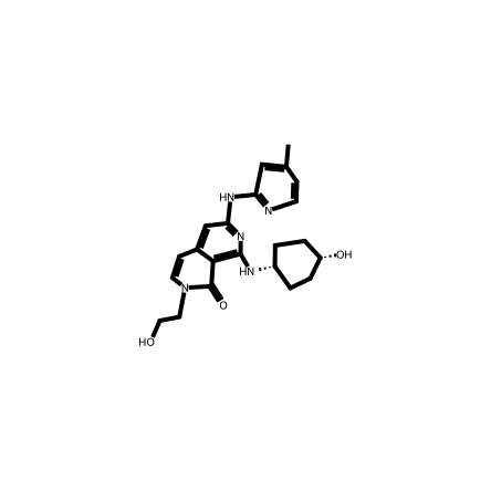 Cc1ccnc(Nc2cc3ccn(CCO)c(=O)c3c(N[C@H]3CC[C@@H](O)CC3)n2)c1